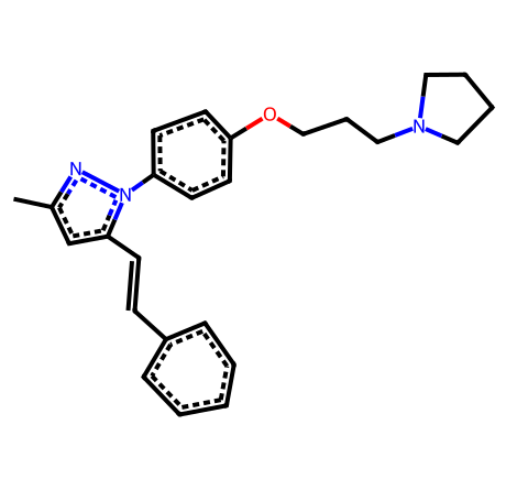 Cc1cc(/C=C/c2ccccc2)n(-c2ccc(OCCCN3CCCC3)cc2)n1